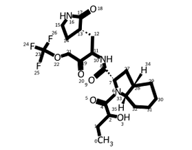 CCC(O)C(=O)N1[C@H](C(=O)NC(C[C@@H]2CCNC2=O)C(=O)COC(F)(F)F)C[C@@H]2CCCC[C@@H]21